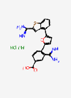 Cl.Cl.N=C(N)c1cc2c(-c3ccc(-c4ccc(C(=O)O)cc4C(=N)N)o3)cccc2s1